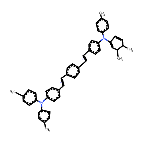 Cc1ccc(N(C2=CC(C)C(C)C=C2)c2ccc(/C=C/c3ccc(/C=C/c4ccc(N(c5ccc(C)cc5)c5ccc(C)cc5)cc4)cc3)cc2)cc1